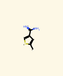 Cc1cc(C(=N)N)cs1